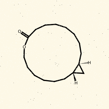 O=C1CCCCCCC[C@H]2C[C@@H]2CCCCCCO1